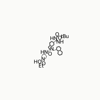 CCOC(O)N1CCC(NC(=O)c2cc3ccc(C(=N)NC(=O)OC(C)(C)C)cc3n2Cc2cccc3ccccc23)CC1